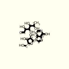 CC(O)C(O)C(O)C(O)C=O.OC[C@H]1O[C@@H](n2cnc3c(O)ncnc32)[C@H](O)[C@@H]1O